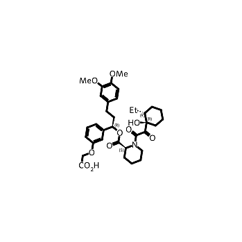 CC[C@@H]1CCCC[C@]1(O)C(=O)C(=O)N1CCCC[C@H]1C(=O)O[C@H](CCc1ccc(OC)c(OC)c1)c1cccc(OCC(=O)O)c1